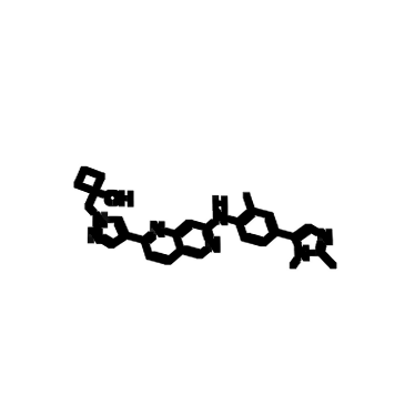 Cc1cc(-c2cnc(C)n2C)ccc1Nc1cc2nc(-c3cnn(CC4(O)CCC4)c3)ccc2cn1